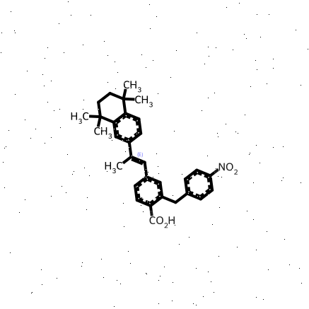 C/C(=C\c1ccc(C(=O)O)c(Cc2ccc([N+](=O)[O-])cc2)c1)c1ccc2c(c1)C(C)(C)CCC2(C)C